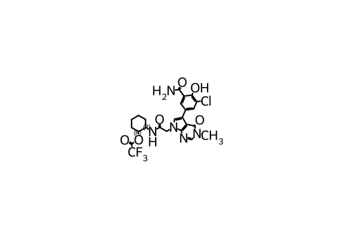 Cn1cnc2c(c(-c3cc(Cl)c(O)c(C(N)=O)c3)cn2CC(=O)N[C@@H]2CCCC[C@H]2OC(=O)C(F)(F)F)c1=O